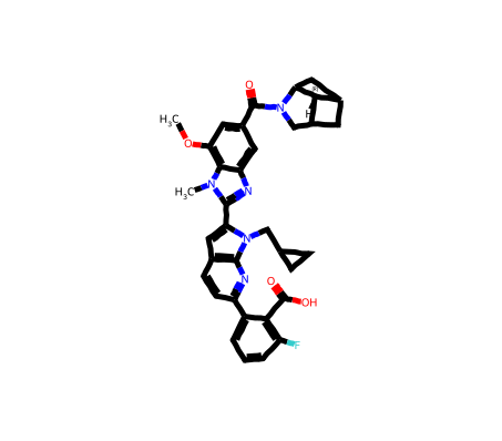 COc1cc(C(=O)N2CC3CC4CC2[C@H]43)cc2nc(-c3cc4ccc(-c5cccc(F)c5C(=O)O)nc4n3CC3CC3)n(C)c12